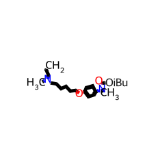 C=CCN(C)CCCCCCOc1ccc(N(C)C(=O)OCC(C)C)cc1